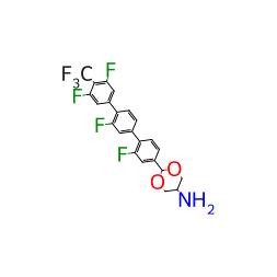 NC1COC(c2ccc(-c3ccc(-c4cc(F)c(C(F)(F)F)c(F)c4)c(F)c3)c(F)c2)OC1